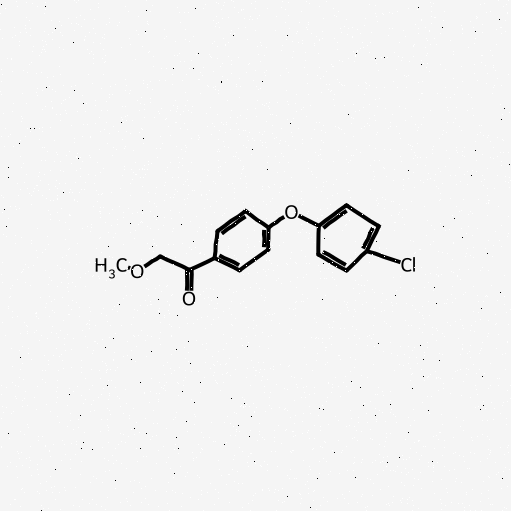 COCC(=O)c1ccc(Oc2ccc(Cl)cc2)cc1